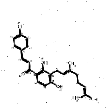 CC(C)=CCC/C(C)=C/Cc1c(O)ccc(C(=O)/C=C/c2ccc(Cl)cc2)c1O